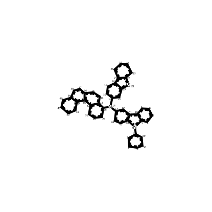 c1ccc(-n2c3ccccc3c3cc(N(c4ccc5c(c4)sc4ccccc45)c4cccc5c4ccc4ccc6ccccc6c45)ccc32)cc1